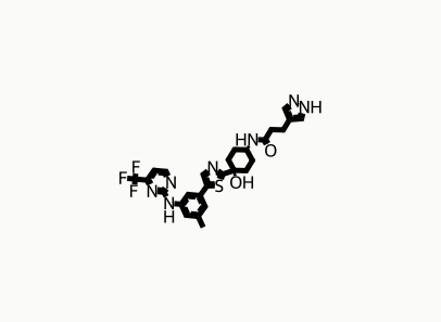 Cc1cc(Nc2nccc(C(F)(F)F)n2)cc(-c2cnc([C@]3(O)CC[C@@H](NC(=O)CCc4cn[nH]c4)CC3)s2)c1